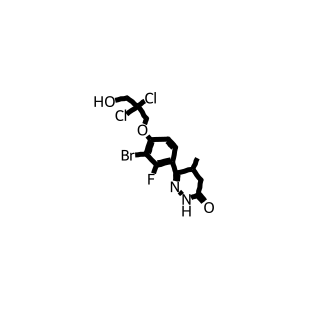 CC1CC(=O)NN=C1c1ccc(OCC(Cl)(Cl)CO)c(Br)c1F